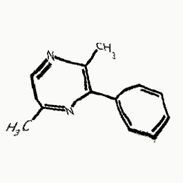 Cc1cnc(C)c(-c2c[c]ccc2)n1